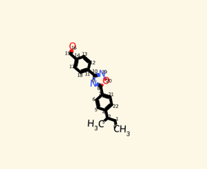 CCC(C)c1ccc(-c2nc(-c3ccc(C=O)cc3)no2)cc1